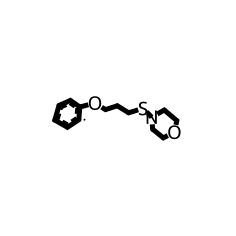 [c]1ccccc1OCCCSN1CCOCC1